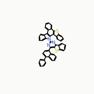 c1ccc(-c2ccc(-c3nc(-n4c5ccccc5c5c6ccccc6c6sc7ccccc7c6c54)nc4c3sc3ccccc34)c3ccccc23)cc1